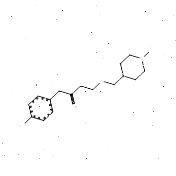 CN1CCC(CNCCC(=N)Cc2ccc(C#N)cc2)CC1